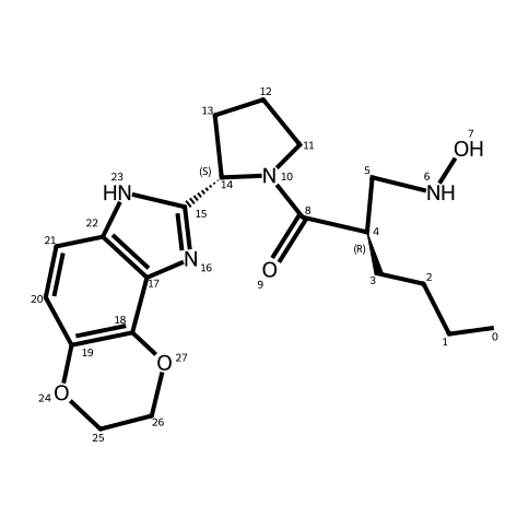 CCCC[C@H](CNO)C(=O)N1CCC[C@H]1c1nc2c3c(ccc2[nH]1)OCCO3